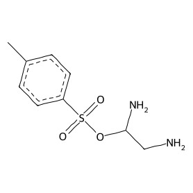 Cc1ccc(S(=O)(=O)OC(N)CN)cc1